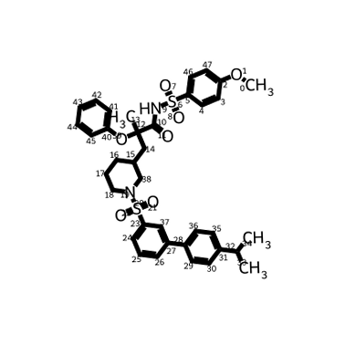 COc1ccc(S(=O)(=O)NC(=O)C(C)(CC2CCCN(S(=O)(=O)c3cccc(-c4ccc(C(C)C)cc4)c3)C2)Oc2ccccc2)cc1